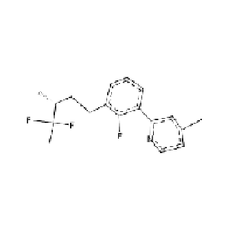 Cc1ccnc(-c2cccc(CC[C@@H](C)C(C)(F)F)c2F)c1